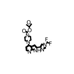 O=C(OC1COC1)N1CCN(c2ccnc3[nH]c(-c4cn(C(F)F)cn4)cc23)CC1